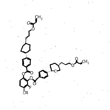 C=CC(=O)OCCC[C@H]1CC[C@H](c2ccc(C(=O)Oc3ccc(C#N)c(F)c3OC(=O)c3ccc([C@H]4CC[C@H](CCCOC(=O)C=C)CC4)cc3)cc2)CC1